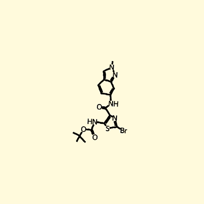 Cn1cc2ccc(NC(=O)c3nc(Br)sc3NC(=O)OC(C)(C)C)cc2n1